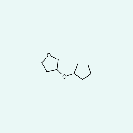 C1CCC(OC2CCOC2)C1